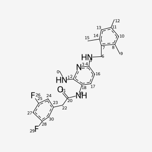 CNc1nc(NCc2c(C)cc(C)cc2C)ccc1NC(=O)Cc1cc(F)cc(F)c1